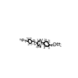 CCCCCCCCCCc1ccc(-c2ncc(OCc3ccc(CCC)cc3)cn2)cc1